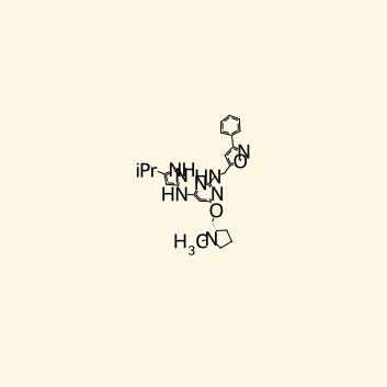 CC(C)c1cc(Nc2cc(OC[C@@H]3CCCN3C)nc(NCc3cc(-c4ccccc4)no3)n2)n[nH]1